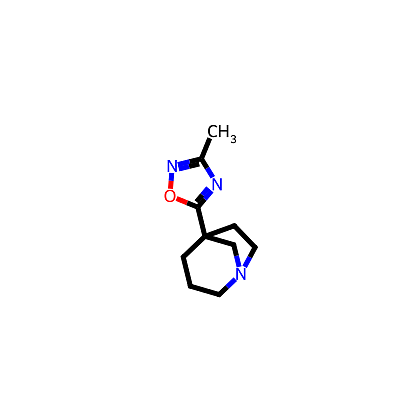 Cc1noc(C23CCCN(CC2)C3)n1